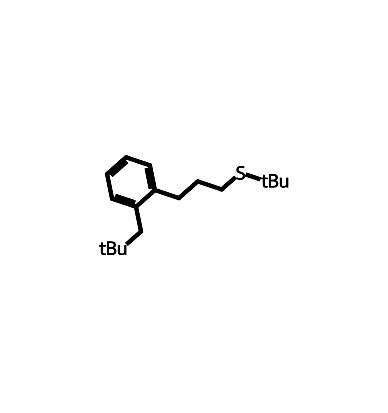 CC(C)(C)Cc1ccccc1CCCSC(C)(C)C